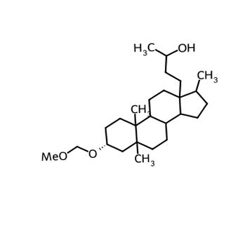 COCO[C@@H]1CCC2(C)C3CCC4(CCC(C)O)C(C)CCC4C3CCC2(C)C1